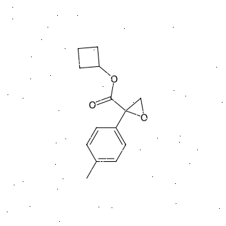 Cc1ccc(C2(C(=O)OC3CCC3)CO2)cc1